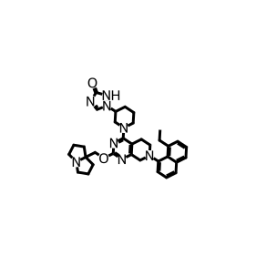 CCc1cccc2cccc(N3CCc4c(nc(OCC56CCCN5CCC6)nc4N4CCCC(n5cnc(=O)[nH]5)C4)C3)c12